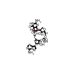 Nc1nc2c(ncn2[C@]23CO[C@H](COP(=O)(O)O[C@@H]4C(COP(=O)(O)O2)O[C@@H](c2cnn5c(N)ncnc25)[C@@H]4O)[C@H]3O)c(=O)[nH]1